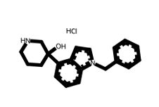 Cl.OC1(c2cccc3c2ccn3Cc2ccccc2)CCCNC1